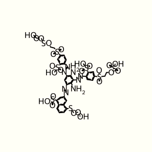 Nc1c(/N=N/c2cc(S(=O)(=O)O)c3cccc(SOOO)c3c2)cc(/N=N/c2ccc(S(=O)(=O)CCOSOOO)cc2S(=O)(=O)O)c(N)c1/N=N/c1ccc(S(=O)(=O)CCOS(=O)(=O)O)cc1S(=O)(=O)O